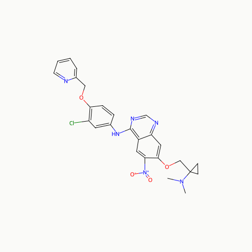 CN(C)C1(COc2cc3ncnc(Nc4ccc(OCc5ccccn5)c(Cl)c4)c3cc2[N+](=O)[O-])CC1